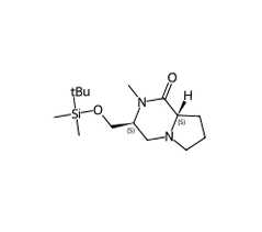 CN1C(=O)[C@@H]2CCCN2C[C@H]1CO[Si](C)(C)C(C)(C)C